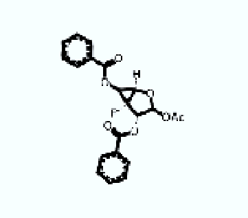 CC(=O)OC1O[C@@H]2C(OC(=O)c3ccccc3)[C@]2(F)[C@H]1OC(=O)c1ccccc1